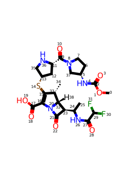 COC(=O)N[C@H]1CCN(C(=O)[C@@H]2C[C@H](SC3=C(C(=O)O)N4C(=O)[C@H](C(C)NC(=O)C(F)F)[C@H]4[C@H]3C)CN2)C1